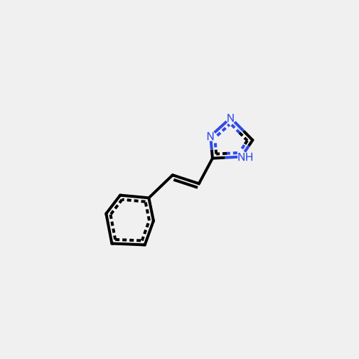 C(=Cc1nnc[nH]1)c1ccccc1